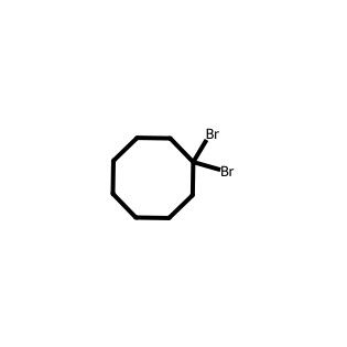 BrC1(Br)CCCCCCC1